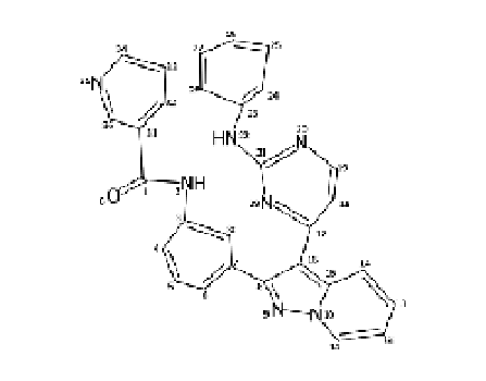 O=C(Nc1cccc(-c2nn3ccccc3c2-c2ccnc(Nc3ccccc3)n2)c1)c1cccnc1